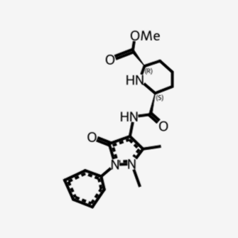 COC(=O)[C@H]1CCC[C@@H](C(=O)Nc2c(C)n(C)n(-c3ccccc3)c2=O)N1